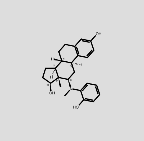 CN(c1ccccc1O)[C@@H]1C[C@@H]2c3ccc(O)cc3CC[C@H]2[C@@H]2CC[C@H](O)[C@]21C